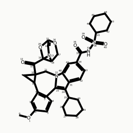 COc1ccc2c(c1)C1CC1(C(=O)N1C=C3OCC1CO3)Cn1c-2c(C2CCCCC2)c2ccc(C(=O)NS(=O)(=O)C3CCCCC3)cc21